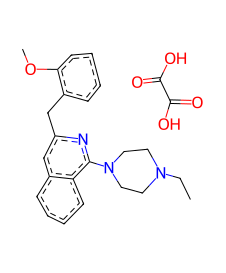 CCN1CCN(c2nc(Cc3ccccc3OC)cc3ccccc23)CC1.O=C(O)C(=O)O